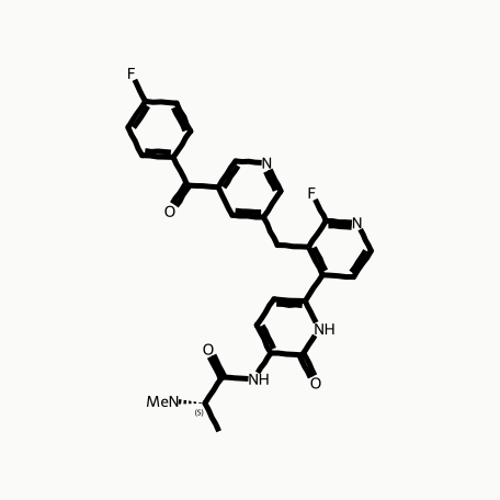 CN[C@@H](C)C(=O)Nc1ccc(-c2ccnc(F)c2Cc2cncc(C(=O)c3ccc(F)cc3)c2)[nH]c1=O